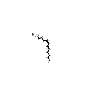 CCCC/C=C\C=C\CCCI